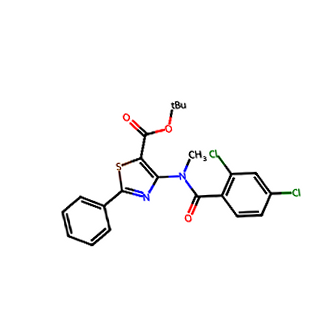 CN(C(=O)c1ccc(Cl)cc1Cl)c1nc(-c2ccccc2)sc1C(=O)OC(C)(C)C